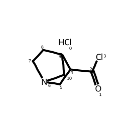 Cl.O=C(Cl)C1CN2CCC1C2